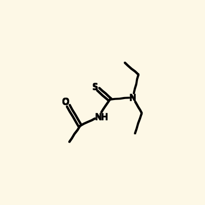 CCN(CC)C(=S)NC(C)=O